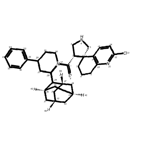 O=C([C@@H]1CNC[C@]12CCCc1nc(Cl)ccc12)N1CCC(c2ccccc2)CC1C1[C@H]2C[C@@H]3C[C@@H](C[C@H]1C3)C2